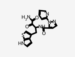 NC(=O)C(=O)C(Cc1csc2[nH]ccc12)NC(=O)c1ccnn1-c1ccccn1